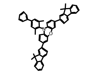 Cc1cc(-c2ccccc2)cc(C)c1N1c2ccc(-c3ccc4c(c3)C(C)(C)c3ccccc3-4)cc2Oc2cc(-c3ccc4c(c3)C(C)(C)c3ccccc3-4)ccc21